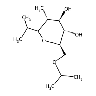 CC(C)OC[C@H]1OC(C(C)C)[C@H](C)[C@@H](O)[C@@H]1O